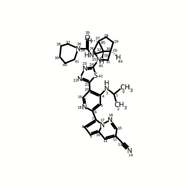 CC(C)Nc1cc(-c2ccc3cc(C#N)cnn23)ncc1-c1nnc(N2C[C@H]3CC[C@@H](C2)[C@@H]3NC(=O)N2CCCCC2)s1